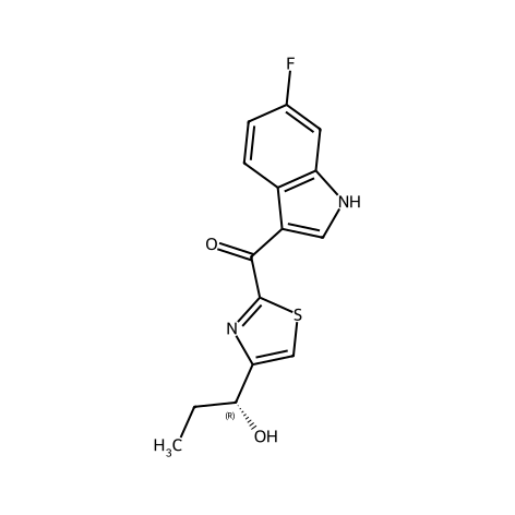 CC[C@@H](O)c1csc(C(=O)c2c[nH]c3cc(F)ccc23)n1